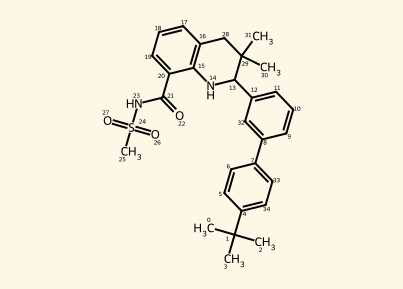 CC(C)(C)c1ccc(-c2cccc(C3Nc4c(cccc4C(=O)NS(C)(=O)=O)CC3(C)C)c2)cc1